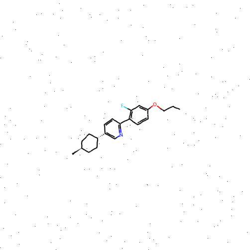 CCCOc1ccc(-c2ccc([C@H]3CC[C@H](C)CC3)cn2)c(F)c1